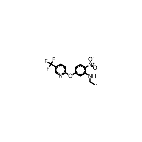 [CH2]CNc1cc(Oc2ccc(C(F)(F)F)cn2)ccc1[N+](=O)[O-]